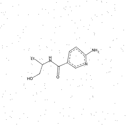 CCC(CO)NC(=O)c1ccc(N)nc1